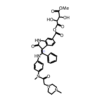 COC(=O)C(O)C(O)C(=O)OC(=O)c1ccc2c(c1)NC(=O)/C2=C(\Nc1ccc(N(C)C(=O)CN2CCN(C)CC2)cc1)c1ccccc1